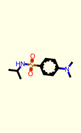 CC(C)NS(=O)(=O)c1ccc(N(C)C)cc1